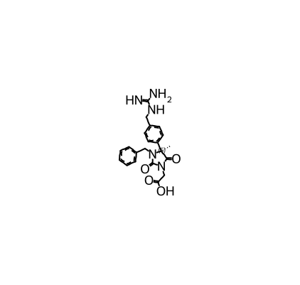 C[C@]1(c2ccc(CNC(=N)N)cc2)C(=O)N(CC(=O)O)C(=O)N1Cc1ccccc1